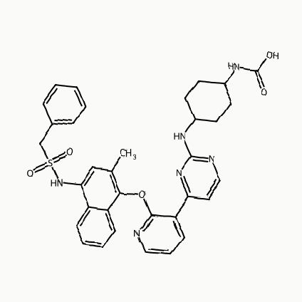 Cc1cc(NS(=O)(=O)Cc2ccccc2)c2ccccc2c1Oc1ncccc1-c1ccnc(NC2CCC(NC(=O)O)CC2)n1